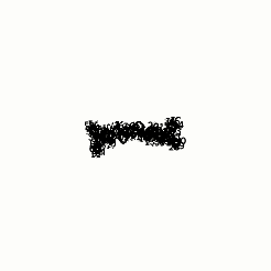 CC1(C)c2cc(-c3cc4cc5oc(-c6ccc7c(c6)C(C)(C)c6cc(N(c8ccccc8)c8ccccc8)ccc6-7)cc5cc4o3)ccc2-c2ccc(N(c3ccccc3)c3ccccc3)cc21